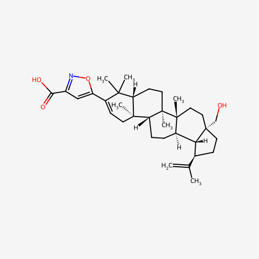 C=C(C)[C@@H]1CC[C@]2(CO)CC[C@]3(C)[C@H](CC[C@@H]4[C@@]5(C)CC=C(c6cc(C(=O)O)no6)C(C)(C)[C@@H]5CC[C@]43C)[C@@H]12